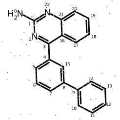 Nc1nc(-c2cccc(-c3ccccc3)c2)c2ccccc2n1